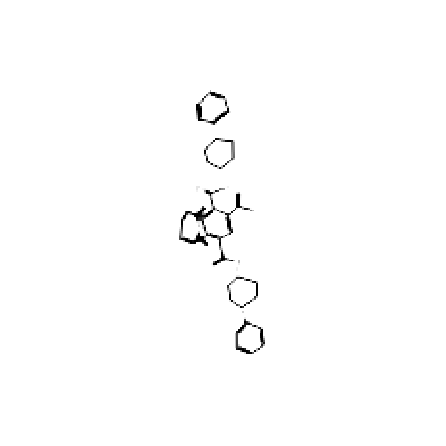 N=C(N[C@H]1CC[C@H](c2ccccc2)CC1)c1c(C(=O)O)cc(C(=O)N[C@H]2CC[C@H](c3ccccc3)CC2)c2c3ccc(c(=O)[nH]c3=O)c12